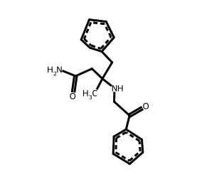 CC(CC(N)=O)(Cc1ccccc1)NCC(=O)c1ccccc1